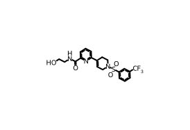 O=C(NCCO)c1cccc(C2=CCN(S(=O)(=O)c3cccc(C(F)(F)F)c3)CC2)n1